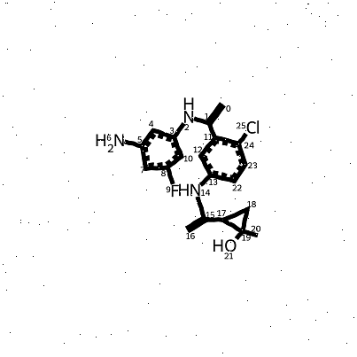 C=C(Nc1cc(N)cc(F)c1)c1cc(NC(=C)C2CC2(C)O)ccc1Cl